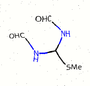 CS[C](NC=O)NC=O